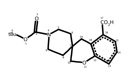 CC(C)(C)OC(=O)N1CCC2(CC1)COc1cccc(C(=O)O)c1C2